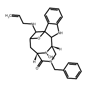 C=CCNC1C2C[C@H]3C(=O)N(Cc4ccccc4)C[C@@H](C4Nc5ccccc5C14O2)N3C